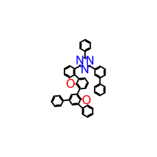 c1ccc(-c2cccc(-c3nc(-c4ccccc4)nc(-c4cccc5oc6c(-c7cc(-c8ccccc8)cc8c7oc7ccccc78)cccc6c45)n3)c2)cc1